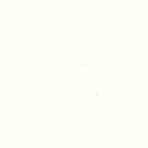 Cc1cc(Oc2cccc(-c3nnc(Nc4cccc(C(F)(F)F)c4)[nH]3)c2)ccn1